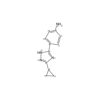 Nc1ccc(-c2nc(C3CC3)n[nH]2)cc1